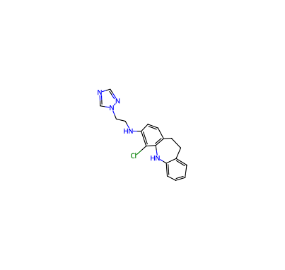 Clc1c(NCCn2cncn2)ccc2c1Nc1ccccc1CC2